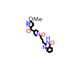 COc1ccc(C(=O)C2CCN(C(=O)CCCc3nc4ccccc4c(=O)[nH]3)CC2)nn1